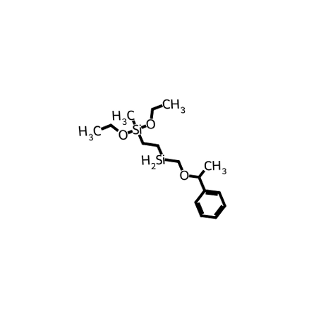 CCO[Si](C)(CC[SiH2]COC(C)c1ccccc1)OCC